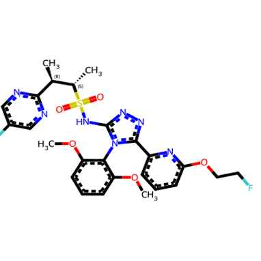 COc1cccc(OC)c1-n1c(NS(=O)(=O)[C@@H](C)[C@H](C)c2ncc(F)cn2)nnc1-c1cccc(OCCF)n1